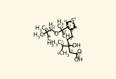 CC(C)C(O)(CCc1cscc1C(C)(C)O[SiH2]C(C)(C)C)CC(=O)O